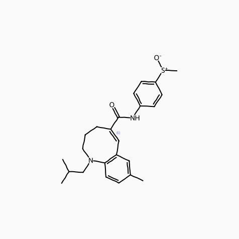 Cc1ccc2c(c1)/C=C(/C(=O)Nc1ccc([S+](C)[O-])cc1)CCCN2CC(C)C